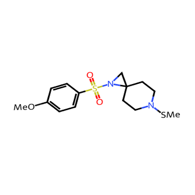 COc1ccc(S(=O)(=O)N2CC23CCN(SC)CC3)cc1